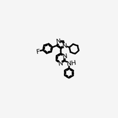 Fc1ccc(-c2ncn(C3CCCCC3)c2-c2ccnc(Nc3ccccc3)n2)cc1